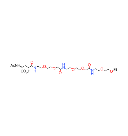 CCOCCOCCNC(=O)COCCOCCNC(=O)COCCOCCNC(=O)CC[C@H](NC(C)=O)C(=O)O